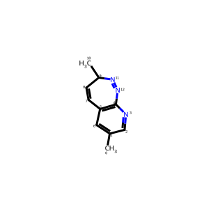 Cc1cnc2c(c1)C=CC(C)N=N2